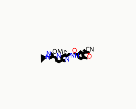 COc1nn(C2CC2)cc1-c1ccc2cnc(CNC(=O)c3ccc4c(c3)[C@](C)(C#N)COC4)cc2n1